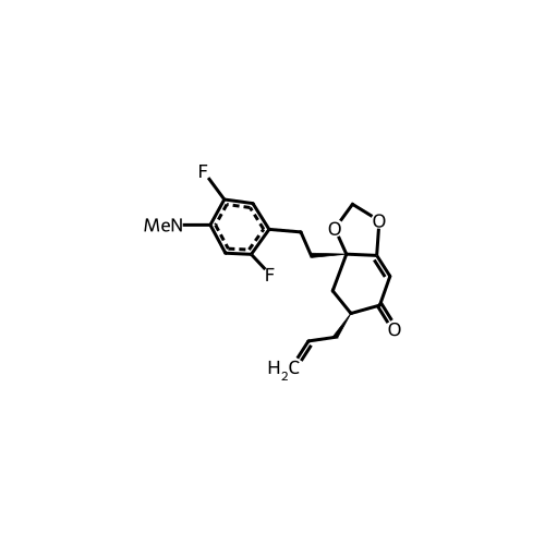 C=CC[C@H]1C[C@]2(CCc3cc(F)c(NC)cc3F)OCOC2=CC1=O